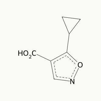 O=C(O)c1cnoc1C1CC1